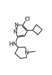 CN1CCC[C@@H](Nc2cc(C3CCC3)c(Cl)nn2)C1